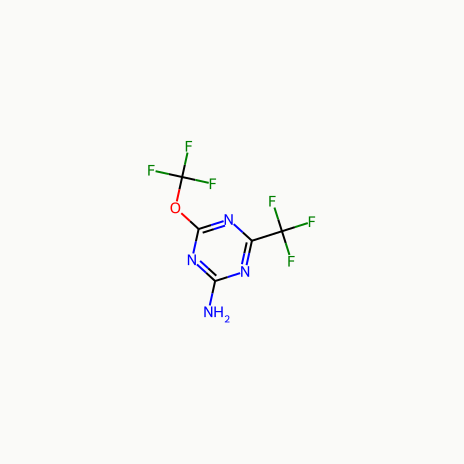 Nc1nc(OC(F)(F)F)nc(C(F)(F)F)n1